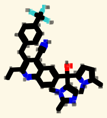 CCc1nc2ccc(C(O)(c3ccc(C)n3C)c3cnc(C)n3C)cc2c(C#N)c1Cc1ccc(C(F)(F)F)cc1